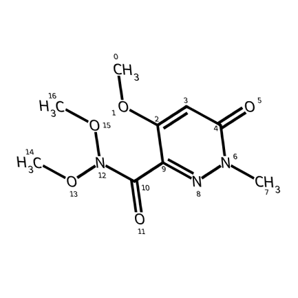 COc1cc(=O)n(C)nc1C(=O)N(OC)OC